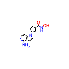 Nc1nccc2c1ccn2[C@@H]1CC[C@@H](C(=O)NO)C1